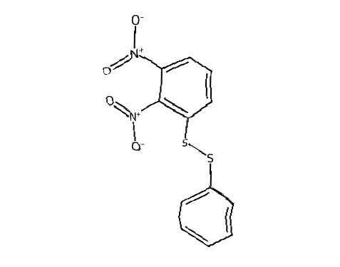 O=[N+]([O-])c1cccc(SSc2ccccc2)c1[N+](=O)[O-]